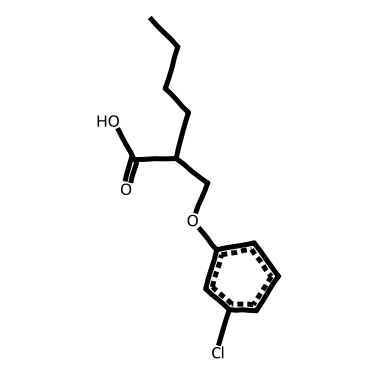 CCCCC(COc1cccc(Cl)c1)C(=O)O